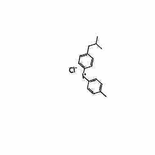 Cc1ccc([I+]c2ccc(CC(C)C)cc2)cc1.[Cl-]